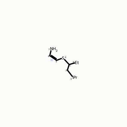 CCC(CC(C)C)S/C=C\N